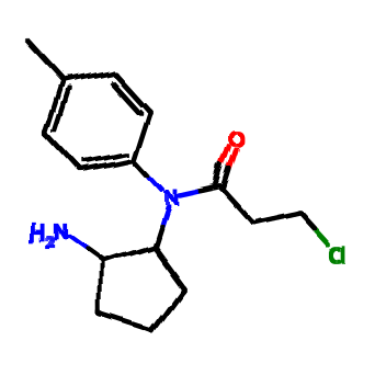 Cc1ccc(N(C(=O)CCCl)C2CCCC2N)cc1